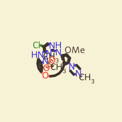 COc1cc(N2CCN(C)CC2)c2cc1Nc1ncc(Cl)c(n1)Nc1ccc(cc1N(C)S(C)(=O)=O)OCCCC2